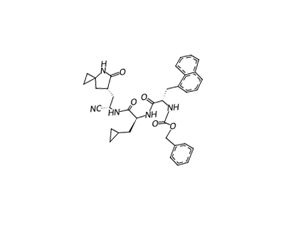 N#C[C@H](C[C@@H]1CC2(CC2)NC1=O)NC(=O)[C@H](CC1CC1)NC(=O)[C@H](Cc1cccc2ccccc12)NC(=O)OCc1ccccc1